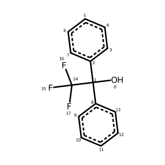 OC(c1ccccc1)(c1ccccc1)C(F)(F)F